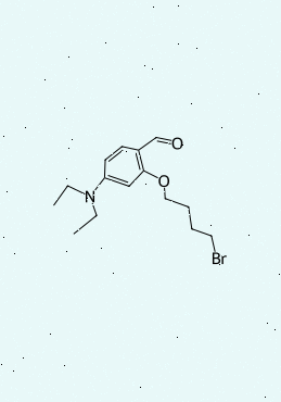 CCN(CC)c1ccc(C=O)c(OCCCCBr)c1